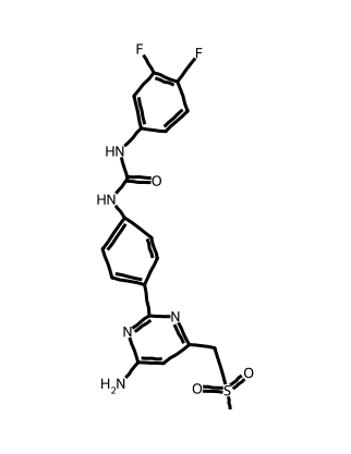 CS(=O)(=O)Cc1cc(N)nc(-c2ccc(NC(=O)Nc3ccc(F)c(F)c3)cc2)n1